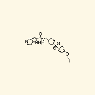 CCCOc1ccc(S(=O)(=O)c2ccc(CNC(=O)c3cc4cnccc4[nH]3)cc2)cc1